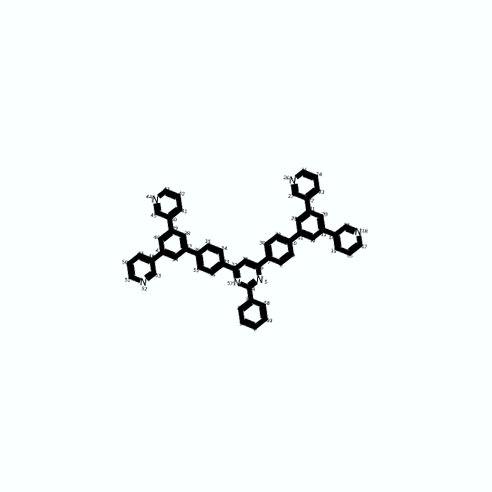 c1ccc(-c2nc(-c3ccc(-c4cc(-c5cccnc5)cc(-c5cccnc5)c4)cc3)cc(-c3ccc(-c4cc(-c5cccnc5)cc(-c5cccnc5)c4)cc3)n2)cc1